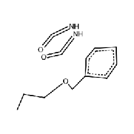 CCCOCc1ccccc1.N=C=O.N=C=O